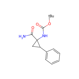 CC(C)(C)OC(=O)NC1(C(N)=O)CC1c1ccccc1